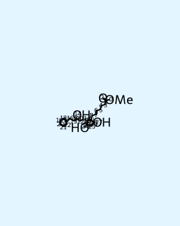 COC(=O)CCCC=CC[C@@H]1[C@@H](CC[C@@H](O)CCc2ccccc2)[C@H](O)C[C@H]1O